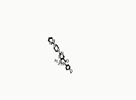 COc1ccc(NC(=O)c2cnc(N3CCN(c4ncccn4)CC3)nc2N)cc1